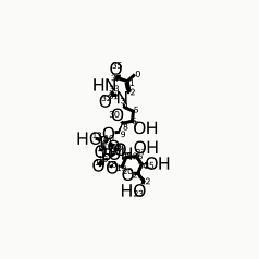 Cc1cn([C@H]2C[C@@H](O)[C@@H](COP(=O)(O)OP(=O)(O)O[C@H]3OC(CO)[C@@H](O)[C@H](O)C3O)O2)c(=O)[nH]c1=O